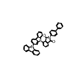 O=C1c2cccc(-n3c4ccccc4c4ccc(-n5c6ccccc6c6ccccc65)cc43)c2C(=O)N1c1ccc(-c2ccccc2)cc1